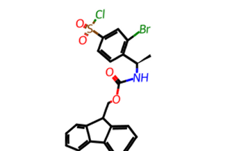 C[C@@H](NC(=O)OCC1c2ccccc2-c2ccccc21)c1ccc(S(=O)(=O)Cl)cc1Br